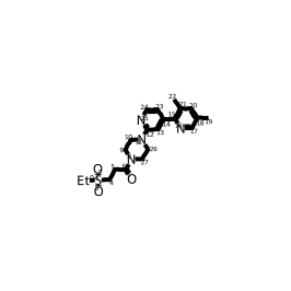 CCS(=O)(=O)CCC(=O)N1CCN(c2cc(-c3ncc(C)cc3C)ccn2)CC1